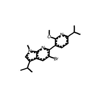 COc1nc(C(C)C)ccc1-c1nc2c(cc1Br)c(C(C)C)cn2C